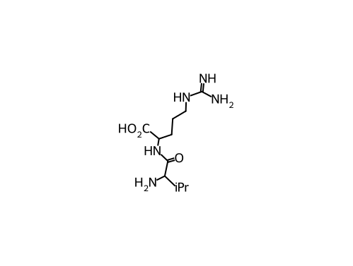 CC(C)C(N)C(=O)NC(CCCNC(=N)N)C(=O)O